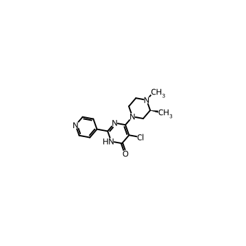 C[C@H]1CN(c2nc(-c3ccncc3)[nH]c(=O)c2Cl)CCN1C